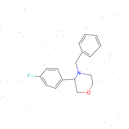 Fc1ccc(C2COCCN2Cc2ccccc2)cc1